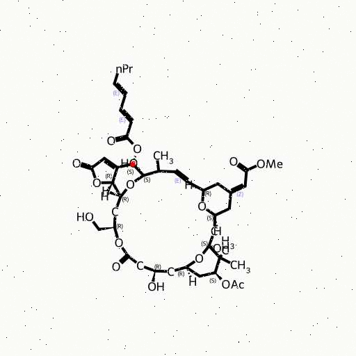 CCC/C=C/C=C/C(=O)O[C@H]1C2=CC(=O)O[C@H]2[C@H]2C[C@H](CO)OC(=O)C[C@H](O)C[C@@H]3C[C@H](OC(C)=O)C(C)(C)[C@](O)(C[C@@H]4C/C(=C/C(=O)OC)C[C@H](/C=C/C(C)[C@]1(O)O2)O4)O3